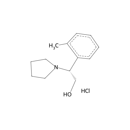 Cc1ccccc1[C@H](CO)N1CCCC1.Cl